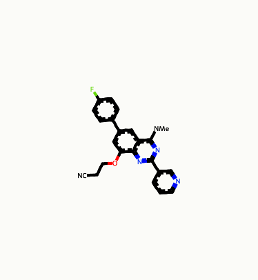 CNc1nc(-c2cccnc2)nc2c(OCCC#N)cc(-c3ccc(F)cc3)cc12